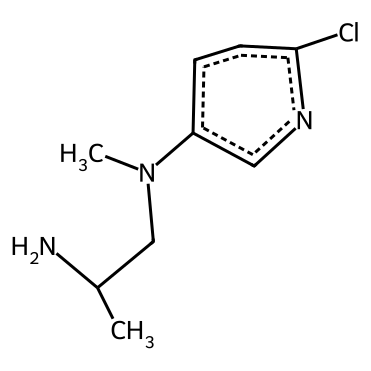 CC(N)CN(C)c1ccc(Cl)nc1